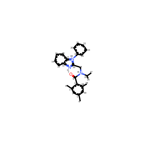 Cc1cc(C)c(C(=O)N(Cc2nc3ccccc3n2-c2ccccc2)C(C)C)c(C)c1